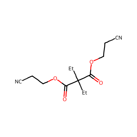 CCC(CC)(C(=O)OCCC#N)C(=O)OCCC#N